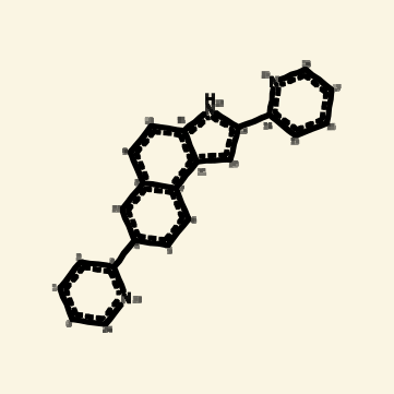 c1ccc(-c2ccc3c(ccc4[nH]c(-c5ccccn5)cc43)c2)nc1